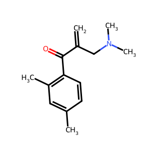 C=C(CN(C)C)C(=O)c1ccc(C)cc1C